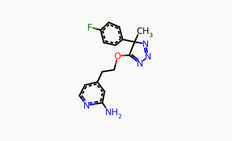 CC1(c2ccc(F)cc2)N=NN=C1OCCc1ccnc(N)c1